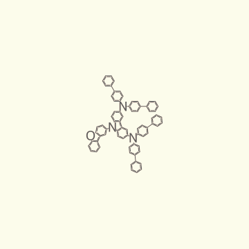 c1ccc(-c2ccc(N(c3ccc(-c4ccccc4)cc3)c3ccc4c(c3)c3cc(N(c5ccc(-c6ccccc6)cc5)c5ccc(-c6ccccc6)cc5)ccc3n4-c3ccc4oc5ccccc5c4c3)cc2)cc1